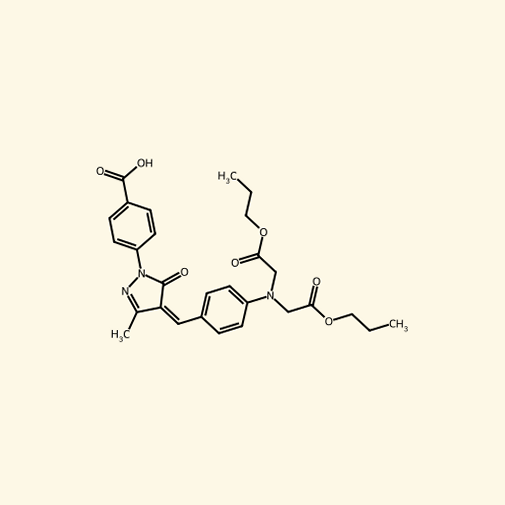 CCCOC(=O)CN(CC(=O)OCCC)c1ccc(/C=C2\C(=O)N(c3ccc(C(=O)O)cc3)N=C2C)cc1